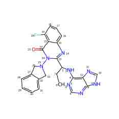 CCC(Nc1ncnc2[nH]cnc12)c1nc2cccc(F)c2c(=O)n1N1Cc2ccccc2C1